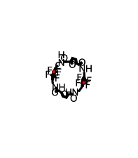 O=C1NCc2c(F)c(F)c(c(F)c2F)CNC(=O)c2ccc(o2)C(=O)NCc2c(F)c(F)c(c(F)c2F)CNC(=O)c2ccc1o2